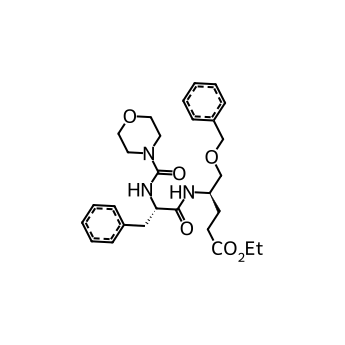 CCOC(=O)CC[C@H](COCc1ccccc1)NC(=O)[C@H](Cc1ccccc1)NC(=O)N1CCOCC1